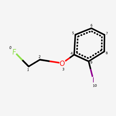 FCCOc1ccccc1I